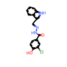 O=C(N/N=C/c1c[nH]c2ccccc12)c1ccc(O)c(Cl)c1